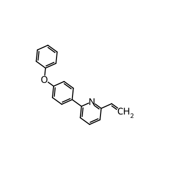 C=Cc1cccc(-c2ccc(Oc3ccccc3)cc2)n1